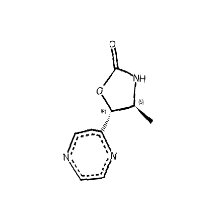 C[C@@H]1NC(=O)O[C@H]1c1cnccn1